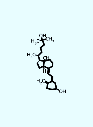 C=C1CC[C@H](O)C/C1=C/C=C1\CCC[C@]2(C)[C@@H]([C@@H](C)CCCC(C)(C)O)CC[C@@H]12